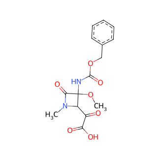 COC1(NC(=O)OCc2ccccc2)C(=O)N(C)C1C(=O)C(=O)O